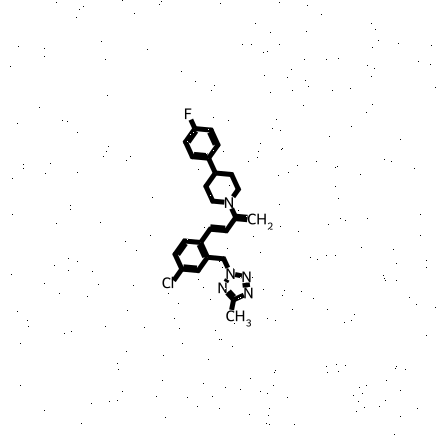 C=C(/C=C/c1ccc(Cl)cc1Cn1nnc(C)n1)N1CCC(c2ccc(F)cc2)CC1